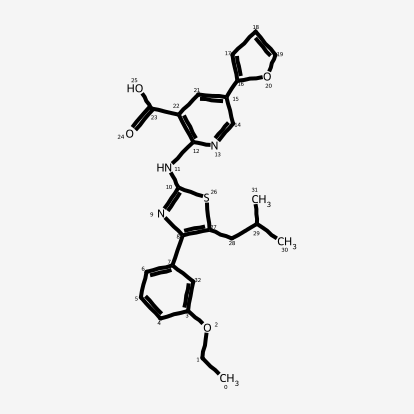 CCOc1cccc(-c2nc(Nc3ncc(-c4ccco4)cc3C(=O)O)sc2CC(C)C)c1